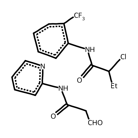 CCC(Cl)C(=O)Nc1ccccc1C(F)(F)F.O=CCC(=O)Nc1ccccn1